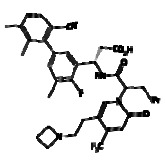 Cc1ccc(C#N)c(-c2cc(C)c(F)c([C@H](CC(=O)O)NC(=O)C(CC(C)C)n3cc(CCN4CCC4)c(C(F)(F)F)cc3=O)c2)c1C